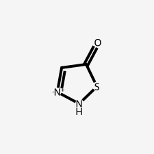 O=C1C=[N+]NS1